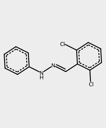 Clc1cccc(Cl)c1C=NNc1ccccc1